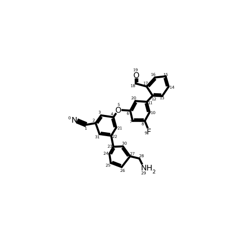 N#Cc1cc(Oc2cc(F)cc(-c3ccccc3C=O)c2)cc(-c2cccc(CN)c2)c1